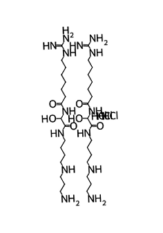 Cl.Cl.Cl.N=C(N)NCCCCCCC(=O)NC(O)C(=O)NCCCCNCCCN.N=C(N)NCCCCCCC(=O)NC(O)C(=O)NCCCCNCCCN